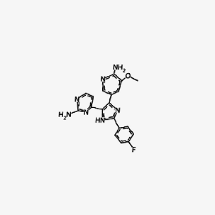 COc1cc(-c2nc(-c3ccc(F)cc3)[nH]c2-c2ccnc(N)n2)cnc1N